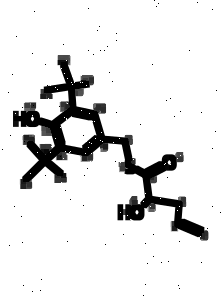 C=CCC(O)C(=O)SCc1cc(C(C)(C)C)c(O)c(C(C)(C)C)c1